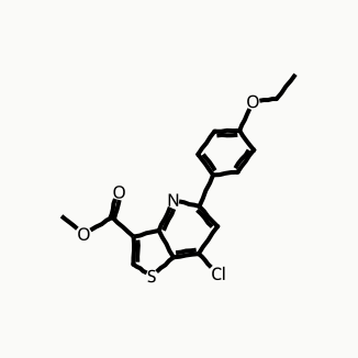 CCOc1ccc(-c2cc(Cl)c3scc(C(=O)OC)c3n2)cc1